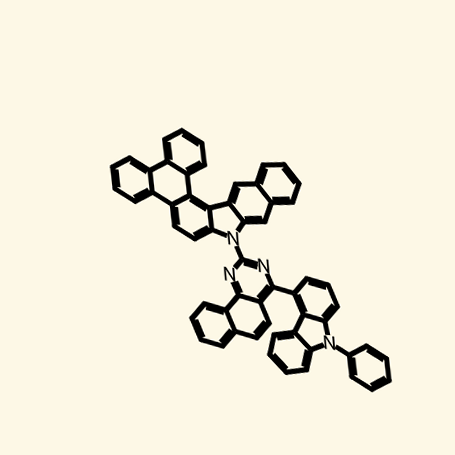 c1ccc(-n2c3ccccc3c3c(-c4nc(-n5c6cc7ccccc7cc6c6c7c8ccccc8c8ccccc8c7ccc65)nc5c4ccc4ccccc45)cccc32)cc1